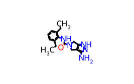 CCc1cccc(CC)c1NC(=O)N1Cc2[nH]nc(N)c2C1